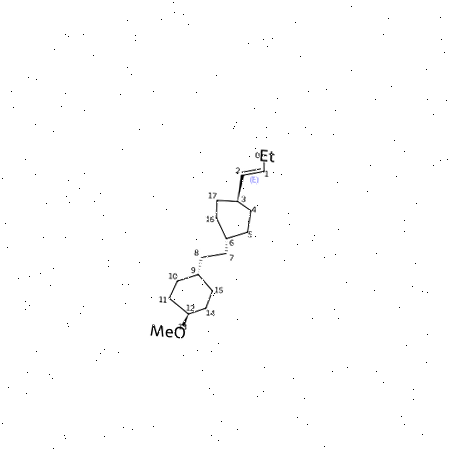 CC/C=C/[C@H]1CC[C@H](CC[C@H]2CC[C@H](OC)CC2)CC1